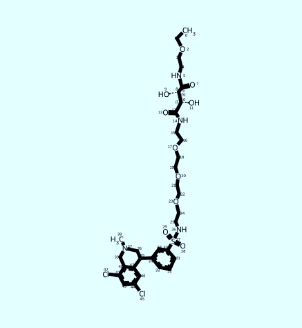 CCOCCNC(=O)[C@@H](O)[C@H](O)C(=O)NCCOCCOCCOCCNS(=O)(=O)c1cccc(C2CN(C)Cc3c(Cl)cc(Cl)cc32)c1